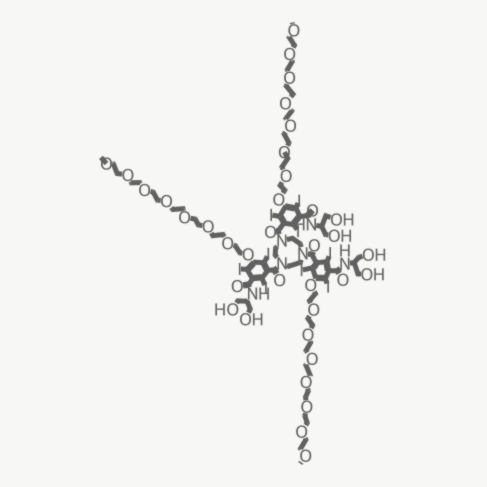 COCCOCCOCCOCCOCCOCCOCCOc1c(I)c(C(=O)NC(CO)CO)c(I)c(C(=O)N2CCN(C(=O)c3c(I)c(OCCOCCOCCOCCOCCOCCOCCOC)c(I)c(C(=O)NC(CO)CO)c3I)CCN(C(=O)c3c(I)c(OCCOCCOCCOCCOCCOCCOCCOC)c(I)c(C(=O)NC(CO)CO)c3I)CC2)c1I